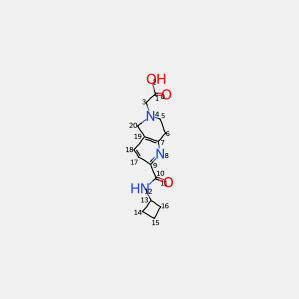 O=C(O)CN1CCc2nc(C(=O)NC3CCC3)ccc2C1